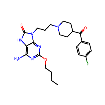 CCCCOc1nc(N)c2[nH]c(=O)n(CCCN3CCC(C(=O)c4ccc(F)cc4)CC3)c2n1